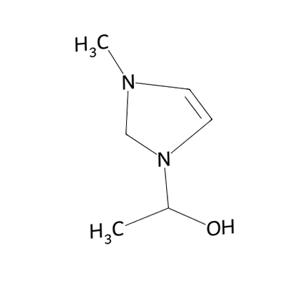 CC(O)N1C=CN(C)C1